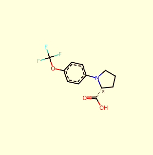 O=C(O)[C@H]1CCCN1c1ccc(OC(F)(F)F)cc1